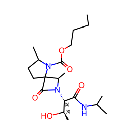 CCCCOC(=O)N1C(C)CCC12C(=O)N([C@H](C(=O)NC(C)C)[C@@H](C)O)C2C